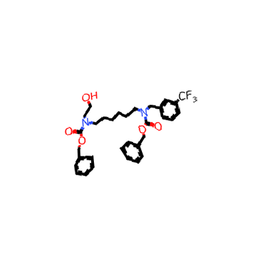 O=C(OCc1ccccc1)N(CCO)CCCCCCN(Cc1cccc(C(F)(F)F)c1)C(=O)OCc1ccccc1